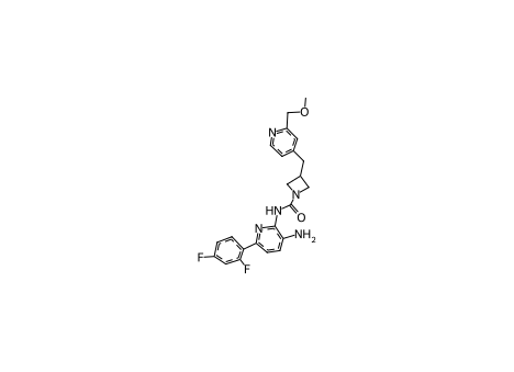 COCc1cc(CC2CN(C(=O)Nc3nc(-c4ccc(F)cc4F)ccc3N)C2)ccn1